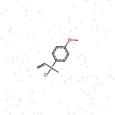 C=C[Si](C)(Cl)c1ccc(OC)cc1